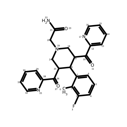 Cc1c(F)cccc1C1C(C(=O)c2ccccn2)CN(CC(N)=O)CC1C(=O)c1ccccn1